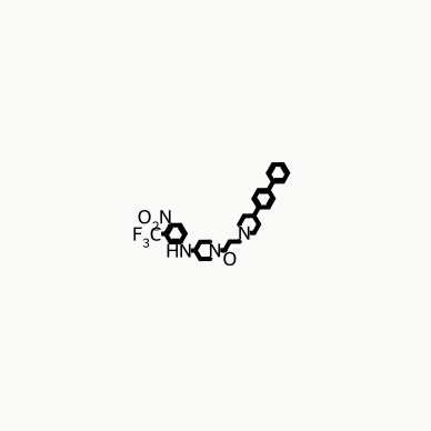 O=C(CCN1CCC(c2ccc(-c3ccccc3)cc2)CC1)N1CCC(Nc2ccc([N+](=O)[O-])c(C(F)(F)F)c2)CC1